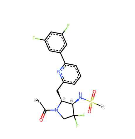 CCS(=O)(=O)N[C@@H]1[C@H](Cc2cccc(-c3cc(F)cc(F)c3)n2)N(C(=O)C(C)C)CC1(F)F